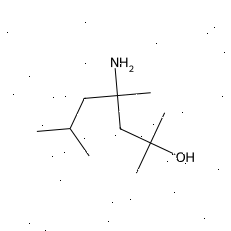 CC(C)CC(C)(N)CC(C)(C)O